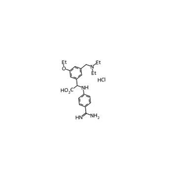 CCOc1cc(CN(CC)CC)cc(C(Nc2ccc(C(=N)N)cc2)C(=O)O)c1.Cl